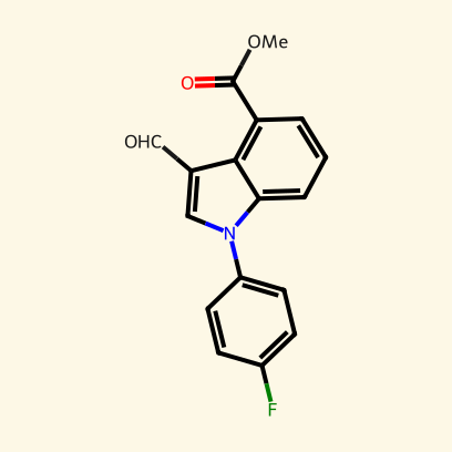 COC(=O)c1cccc2c1c(C=O)cn2-c1ccc(F)cc1